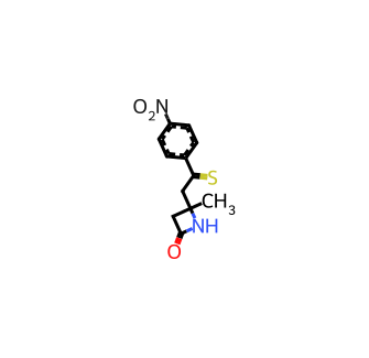 CC1(CC(=S)c2ccc([N+](=O)[O-])cc2)CC(=O)N1